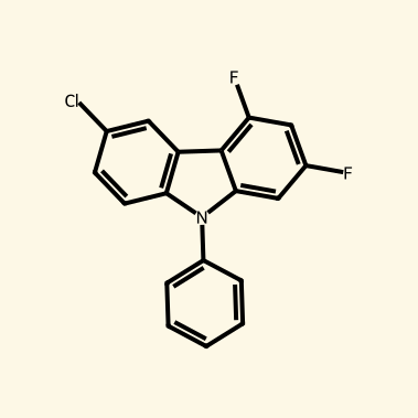 Fc1cc(F)c2c3cc(Cl)ccc3n(-c3ccccc3)c2c1